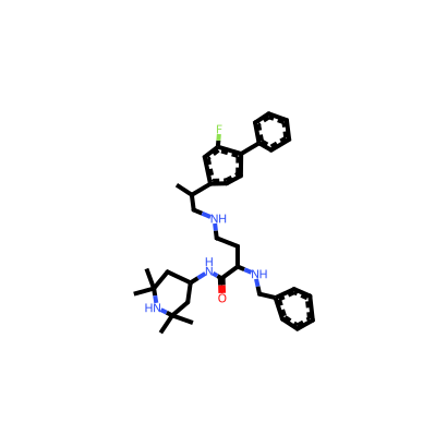 CC(CNCCC(NCc1ccccc1)C(=O)NC1CC(C)(C)NC(C)(C)C1)c1ccc(-c2ccccc2)c(F)c1